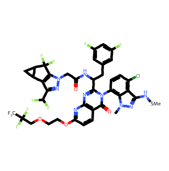 CSNc1nn(C)c2c(-n3c(C(Cc4cc(F)cc(F)c4)NC(=O)Cn4nc(C(F)F)c5c4C(F)(F)C4CC54)nc4nc(OCCOCC(F)(F)C(F)(F)F)ccc4c3=O)ccc(Cl)c12